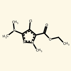 CCOC(=O)c1c(Cl)c(N(C)C)nn1C